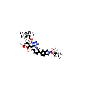 CC(C)C[C@H](C(=O)O)[C@H](Cc1ccc(-c2ccc3c(c2)CN(C(=O)OC(C)(C)C)C3)cn1)c1nnnn1COCC[Si](C)(C)C